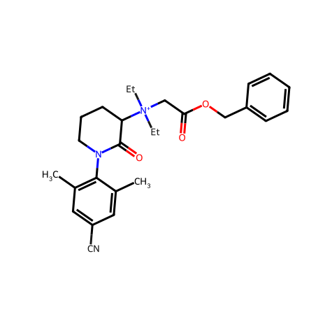 CC[N+](CC)(CC(=O)OCc1ccccc1)C1CCCN(c2c(C)cc(C#N)cc2C)C1=O